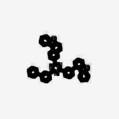 c1ccc(-c2cccc(-c3nc(-c4cccc(-c5cccc6oc7ccccc7c56)c4)nc(-c4ccc5c(ccc6oc7ccccc7c65)c4)n3)c2)cc1